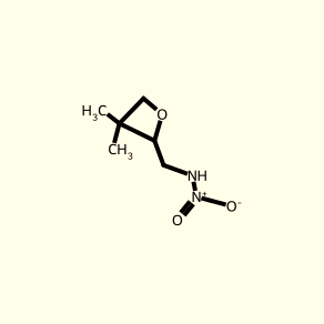 CC1(C)COC1CN[N+](=O)[O-]